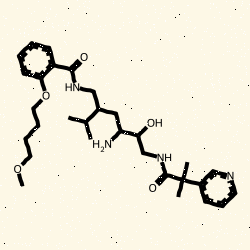 COCCCCOc1ccccc1C(=O)NCC(CC(N)C(O)CNC(=O)C(C)(C)c1cccnc1)C(C)C